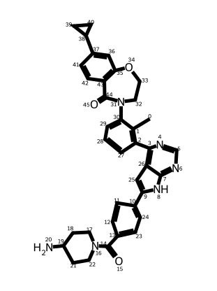 Cc1c(-c2ncnc3[nH]c(-c4ccc(C(=O)N5CCC(N)CC5)cc4)cc23)cccc1N1CCOc2cc(C3CC3)ccc2C1=O